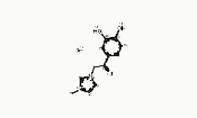 Cn1cc[n+](CC(=O)c2ccc(O)c(O)c2)c1.[Br-]